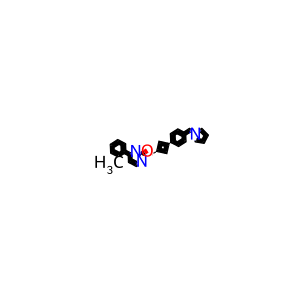 Cc1ccccc1-c1ccnc(OC[C@H]2C[C@@H](c3ccc(CN4CCCC4)cc3)C2)n1